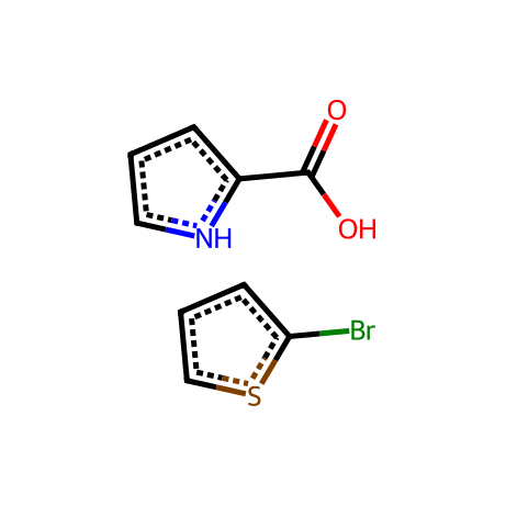 Brc1cccs1.O=C(O)c1ccc[nH]1